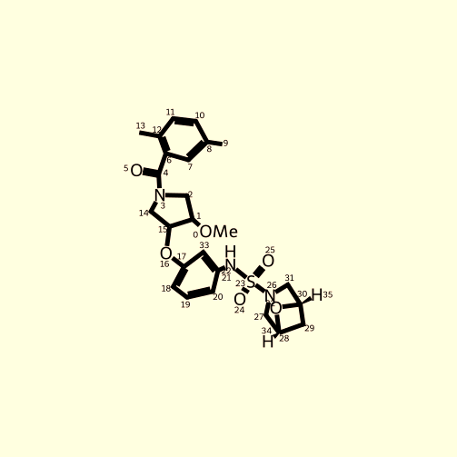 COC1CN(C(=O)c2cc(C)ccc2C)CC1Oc1cccc(NS(=O)(=O)N2C[C@H]3C[C@@H](C2)O3)c1